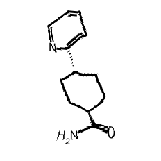 NC(=O)[C@H]1CC[C@H](c2ccccn2)CC1